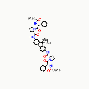 CCCCC1(CCCC)c2cc(NC(=O)[C@@H]3CCCN3C(=O)[C@H](NC(=O)OC)c3ccccc3)ccc2-c2ccc(NC(=O)[C@@H]3CCCN3C(=O)[C@H](NC(=O)OC)c3ccccc3)cc21